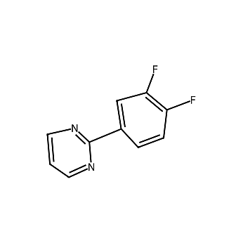 Fc1ccc(-c2ncccn2)cc1F